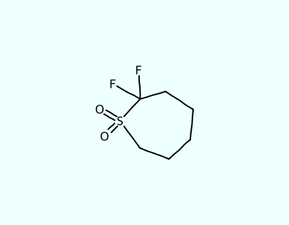 O=S1(=O)CCCCCC1(F)F